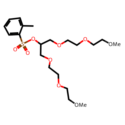 COCCOCCOCC(COCCOCCOC)OS(=O)(=O)c1ccccc1C